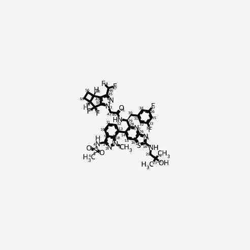 Cn1nc(NS(C)(=O)=O)c2cccc(-c3cc4sc(NCC(C)(C)O)nc4nc3[C@H](Cc3cc(F)cc(F)c3)NC(=O)Cn3nc(C(F)F)c4c3C(F)(F)[C@@H]3CC[C@H]43)c21